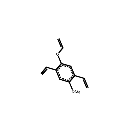 C=COc1cc(C=C)c(OC)cc1C=C